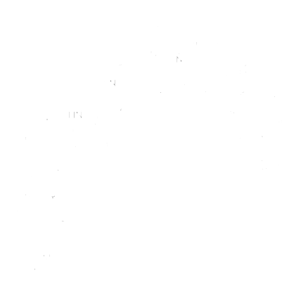 COc1ccc(O[C@H]2CC[C@@H](NC(=O)c3ccc(C(=O)N4CCC(Oc5ccc(C)cc5)CC4)cn3)CC2)cc1